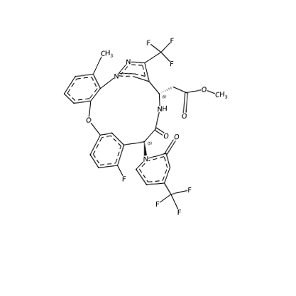 COC(=O)C[C@@H]1NC(=O)[C@@H](n2ccc(C(F)(F)F)cc2=O)c2cc(ccc2F)Oc2cccc(C)c2-n2cc1c(C(F)(F)F)n2